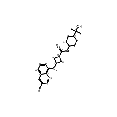 CC(C)(O)C1CCC(NC(=O)C2CC(Oc3cccc4cc(F)cnc34)C2)CC1